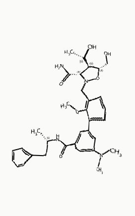 COc1c(CN2O[C@@H](CO)[C@H]([C@H](C)O)[C@H]2C(N)=O)cccc1-c1cc(C(=O)N[C@@H](C)Cc2ccccc2)cc(N(C)C)c1